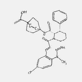 CN(N=N)c1ccc(Cl)cc1/C=C/C(=O)N1CCC[C@@H](c2ccccc2)[C@H]1C(=O)NC12CCC(C(=O)O)(CC1)CC2